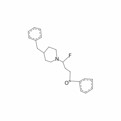 O=C(CCC(F)N1CCC(Cc2ccccc2)CC1)c1ccccc1